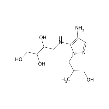 CC(CO)Cn1ncc(N)c1NCC(O)C(O)CO